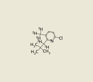 [2H]C([2H])([2H])c1ccc(Cl)nc1C([2H])([2H])C(C)(C)C